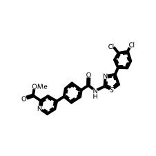 COC(=O)c1cc(-c2ccc(C(=O)Nc3nc(-c4ccc(Cl)c(Cl)c4)cs3)cc2)ccn1